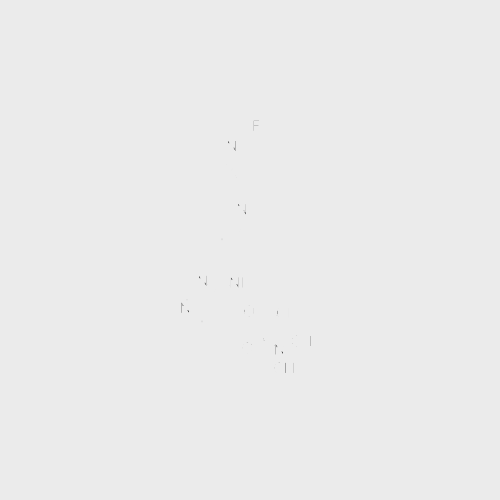 C[C@@H](Oc1cccc2ncnc(Nc3ccc4c(ccn4Cc4ccc(F)nc4)c3)c12)C(=O)N(C)C